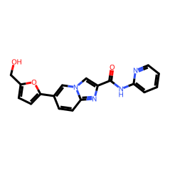 O=C(Nc1ccccn1)c1cn2cc(-c3ccc(CO)o3)ccc2n1